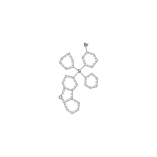 Brc1cccc([Si](c2ccccc2)(c2ccccc2)c2ccc3oc4ccccc4c3c2)c1